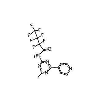 Cc1nc(NC(=O)C(F)(F)C(F)(F)C(F)(F)F)nc(-c2ccncc2)n1